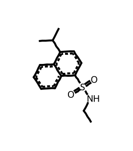 CCNS(=O)(=O)c1ccc(C(C)C)c2ccccc12